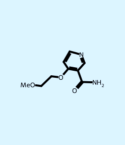 COCCOc1ccncc1C(N)=O